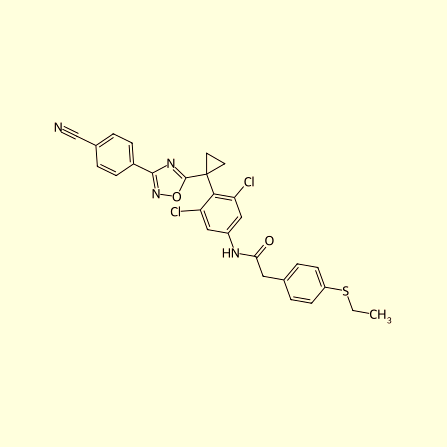 CCSc1ccc(CC(=O)Nc2cc(Cl)c(C3(c4nc(-c5ccc(C#N)cc5)no4)CC3)c(Cl)c2)cc1